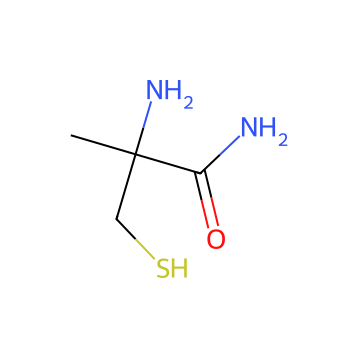 CC(N)(CS)C(N)=O